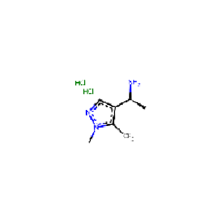 C[C@H](N)c1cnn(C)c1C(F)(F)F.Cl.Cl